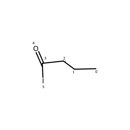 CC[CH]C(=O)I